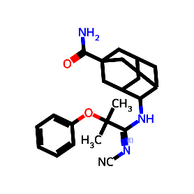 CC(C)(Oc1ccccc1)/C(=N\C#N)NC1C2CC3CC1CC(C(N)=O)(C3)C2